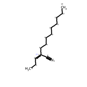 CC/C=C(\C#N)CCCCCCCCC